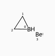 B1CC1.[Be]